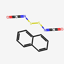 O=C=NSSN=C=O.c1ccc2ccccc2c1